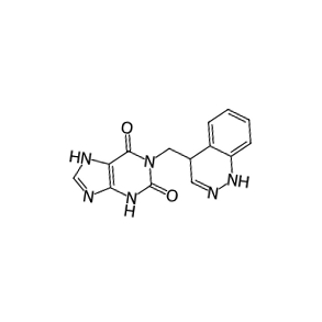 O=c1[nH]c2nc[nH]c2c(=O)n1CC1C=NNc2ccccc21